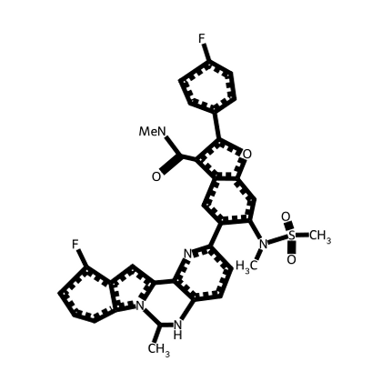 CNC(=O)c1c(-c2ccc(F)cc2)oc2cc(N(C)S(C)(=O)=O)c(-c3ccc4c(n3)-c3cc5c(F)cccc5n3C(C)N4)cc12